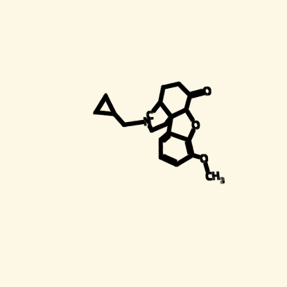 COc1cccc2c1OC1C(=O)CCC3CN(CC4CC4)CCC231